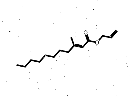 C=CCOC(=O)/C=C(\C)CCCCCCCC